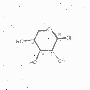 O[C@@H]1[C@@H](O)[C@@H](O)CO[C@H]1O